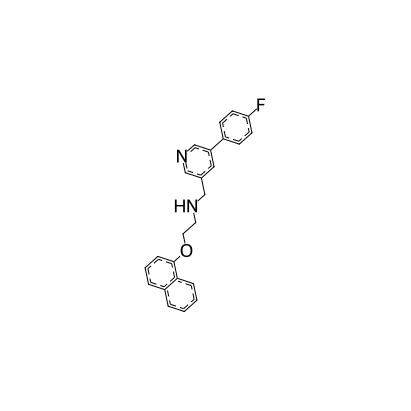 Fc1ccc(-c2cncc(CNCCOc3cccc4ccccc34)c2)cc1